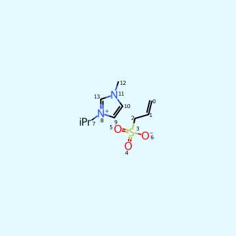 C=CCS(=O)(=O)[O-].CC(C)[n+]1ccn(C)c1